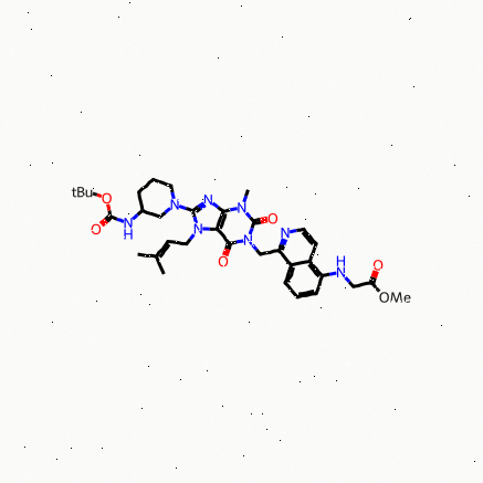 COC(=O)CNc1cccc2c(Cn3c(=O)c4c(nc(N5CCCC(NC(=O)OC(C)(C)C)C5)n4CC=C(C)C)n(C)c3=O)nccc12